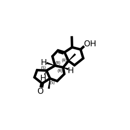 CC1C2=CC[C@@H]3[C@@H](CC[C@]4(C)C(=O)CC[C@@H]34)[C@@]2(C)CCC1O